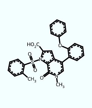 Cc1ccccc1S(=O)(=O)n1c(C(=O)O)cc2c(-c3ccccc3Oc3ccccc3)cn(C)c(=O)c21